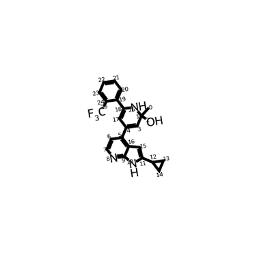 CC1(O)C=C(c2ccnc3[nH]c(C4CC4)cc23)C=C(c2ccccc2C(F)(F)F)N1